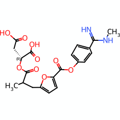 CNC(=N)c1ccc(OC(=O)c2ccc(CC(C)C(=O)O[C@H](CC(=O)O)C(=O)O)o2)cc1